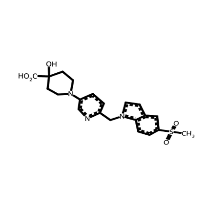 CS(=O)(=O)c1ccc2c(ccn2Cc2ccc(N3CCC(O)(C(=O)O)CC3)cn2)c1